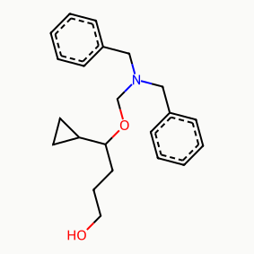 OCCCC(OCN(Cc1ccccc1)Cc1ccccc1)C1CC1